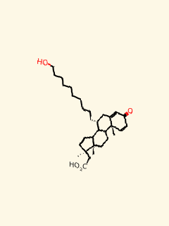 C[C@]1(CC(=O)O)CCC2C3C(CC[C@@]21C)[C@@]1(C)CCC(=O)C=C1C[C@H]3CCCCCCCCCCO